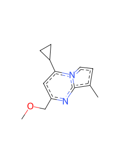 COCc1cc(C2CC2)n2ccc(C)c2n1